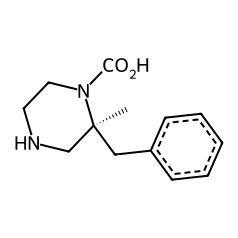 C[C@]1(Cc2ccccc2)CNCCN1C(=O)O